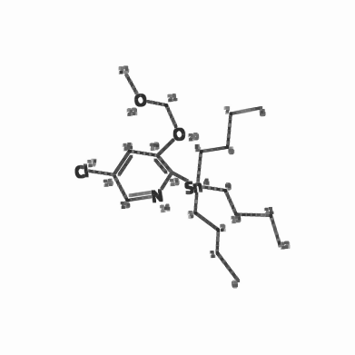 CCC[CH2][Sn]([CH2]CCC)([CH2]CCC)[c]1ncc(Cl)cc1OCOC